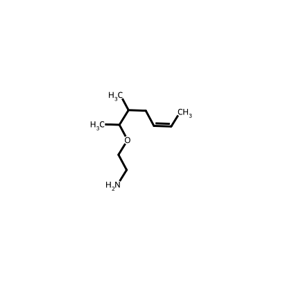 C/C=C\CC(C)C(C)OCCN